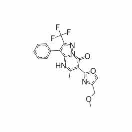 COCc1coc(-c2c(C)[nH]c3c(-c4ccccc4)c(C(F)(F)F)nn3c2=O)n1